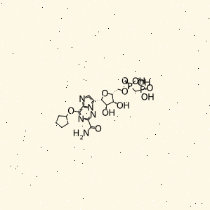 NC(=O)c1nc(OC2CCCC2)c2ncc([C@@H]3O[C@H](COP(=O)(O)CP(=O)(O)O)[C@@H](O)[C@H]3O)n2n1